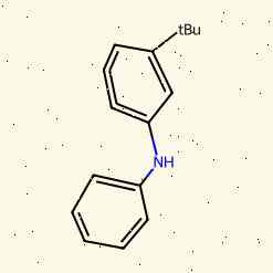 CC(C)(C)C1=CC(Nc2ccccc2)=C=C=C1